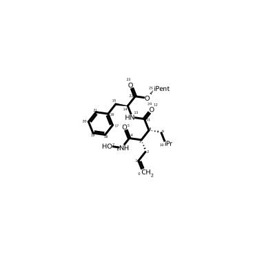 C=CC[C@H](C(=O)NO)[C@@H](CC(C)C)C(=O)N[C@@H](Cc1ccccc1)C(=O)O[C@@H](C)CCC